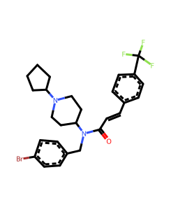 O=C(/C=C/c1ccc(C(F)(F)F)cc1)N(Cc1ccc(Br)cc1)C1CCN(C2CCCC2)CC1